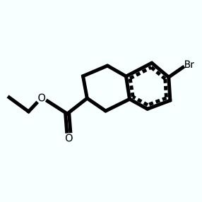 CCOC(=O)C1CCc2cc(Br)ccc2C1